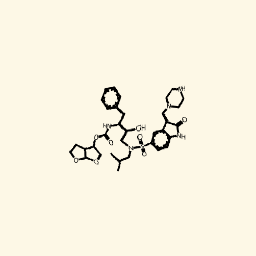 CC(C)CN(CC(O)C(Cc1ccccc1)NC(=O)OC1COC2OCCC12)S(=O)(=O)c1ccc2c(c1)C(=CN1CCNCC1)C(=O)N2